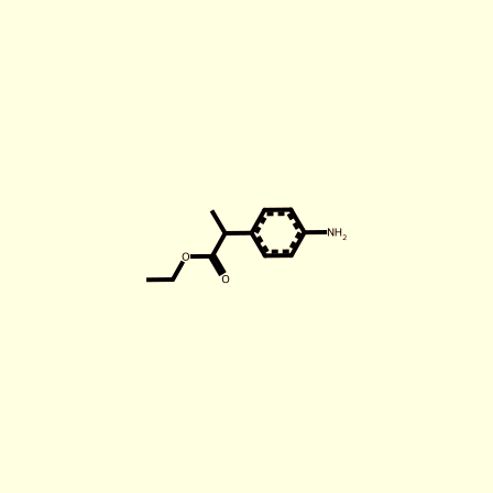 CCOC(=O)C(C)c1ccc(N)cc1